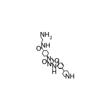 NCCCNC(=O)[C@H]1CC[C@H](n2cc3c(nc2=O)Nc2cc(C4CCNCC4)ccc2O3)CC1